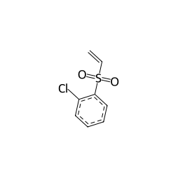 C=CS(=O)(=O)c1ccccc1Cl